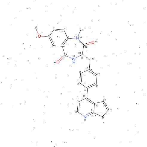 COc1ccc2c(c1)C(=O)N[C@@H](Cc1ccc(-c3ccnc4c3C=CC4)cc1)C(=O)N2C